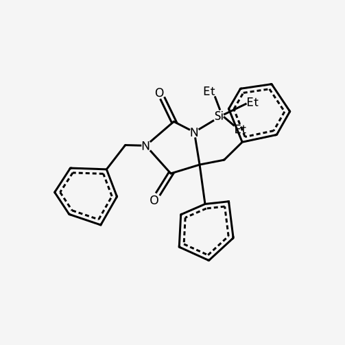 CC[Si](CC)(CC)N1C(=O)N(Cc2ccccc2)C(=O)C1(Cc1ccccc1)c1ccccc1